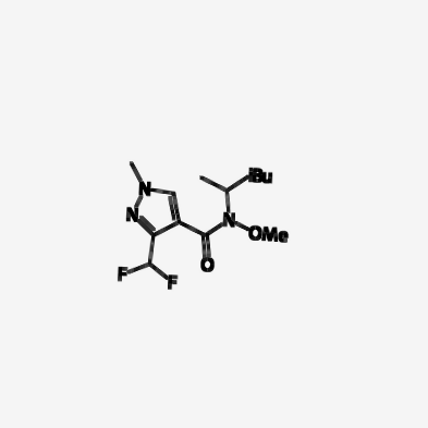 CCC(C)C(C)N(OC)C(=O)c1cn(C)nc1C(F)F